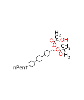 C=C(C)C(=O)OCC(COC(=O)C(=C)CO)C1CCC(C2CCC(c3ccc(CCCCC)cc3)CC2)CC1